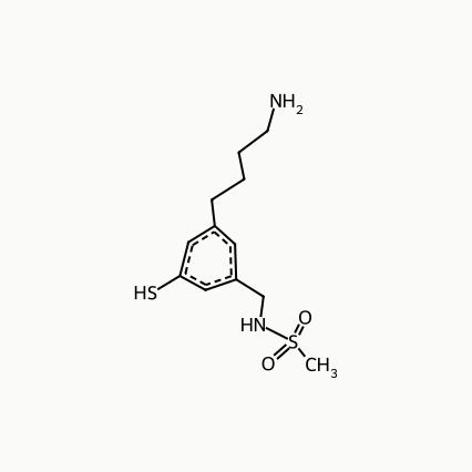 CS(=O)(=O)NCc1cc(S)cc(CCCCN)c1